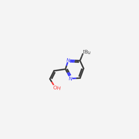 CC(C)(C)c1ccnc(/C=C\O)n1